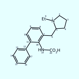 CCN1CCCC1Cc1cccc(-c2ccccc2)c1NC(=O)O